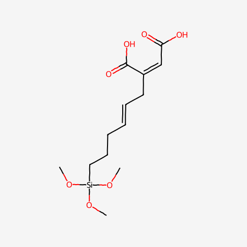 CO[Si](CCCC=CCC(=CC(=O)O)C(=O)O)(OC)OC